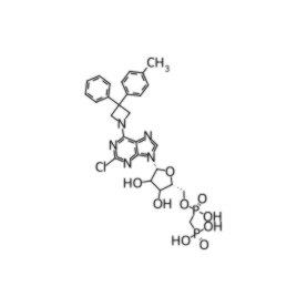 Cc1ccc(C2(c3ccccc3)CN(c3nc(Cl)nc4c3ncn4[C@@H]3O[C@H](COP(=O)(O)CP(=O)(O)O)C(O)C3O)C2)cc1